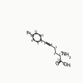 N[C@@H](CCC#Cc1ccc(F)cc1)C(=O)O